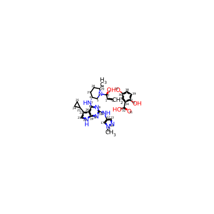 C=CC(=O)N1C[C@H](Nc2nc(Nc3cnn(C)c3)nc3[nH]cc(C4CC4)c23)CC[C@@H]1C.O=C(O)c1cc(O)ccc1O